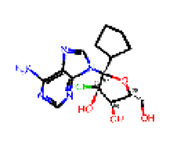 Nc1ncnc2c1ncn2[C@]1(C2CCCC2)O[C@H](CO)[C@@H](O)[C@]1(O)Cl